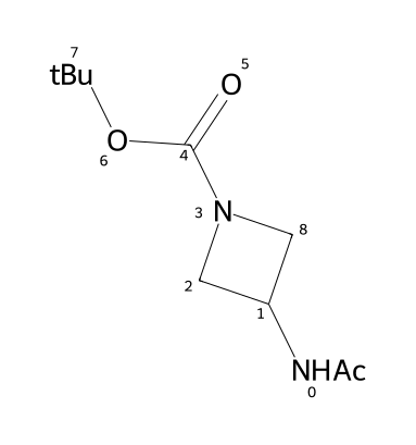 CC(=O)NC1CN(C(=O)OC(C)(C)C)C1